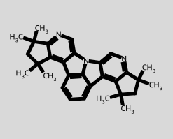 CC1(C)CC(C)(C)c2c1ncc1c2c2cccc3c4c5c(ncc4n1c23)C(C)(C)CC5(C)C